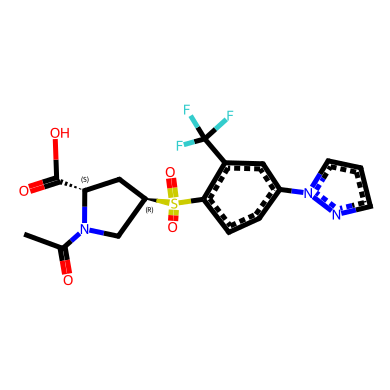 CC(=O)N1C[C@H](S(=O)(=O)c2ccc(-n3cccn3)cc2C(F)(F)F)C[C@H]1C(=O)O